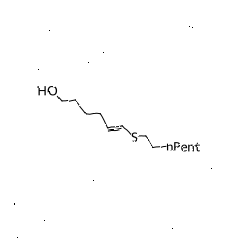 CCCCCCCSC=CCCCCO